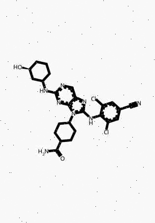 N#Cc1cc(Cl)c(Nc2nc3cnc(NC4CCC[C@H](O)C4)nc3n2C2CCC(C(N)=O)CC2)c(Cl)c1